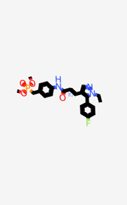 CCn1ncc(/C=C/C(=O)Nc2ccc(CP(=O)(OC)OC)cc2)c1-c1ccc(F)cc1